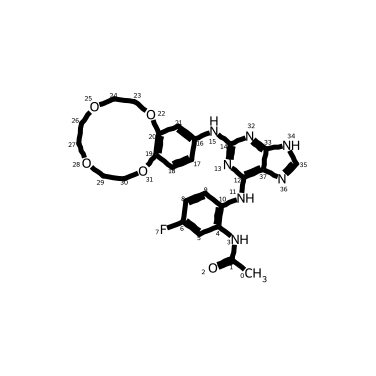 CC(=O)Nc1cc(F)ccc1Nc1nc(Nc2ccc3c(c2)OCCOCCOCCO3)nc2[nH]cnc12